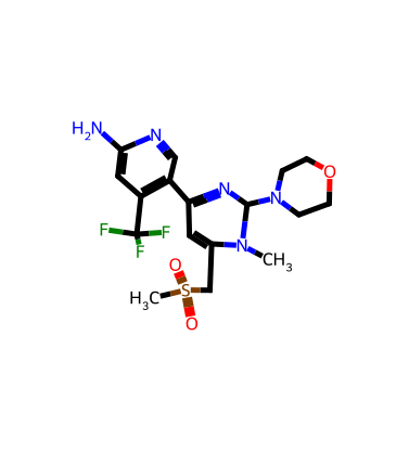 CN1C(CS(C)(=O)=O)=CC(c2cnc(N)cc2C(F)(F)F)=NC1N1CCOCC1